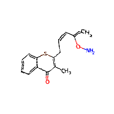 C=C(/C=C\Cc1sc2ccccc2c(=O)c1C)ON